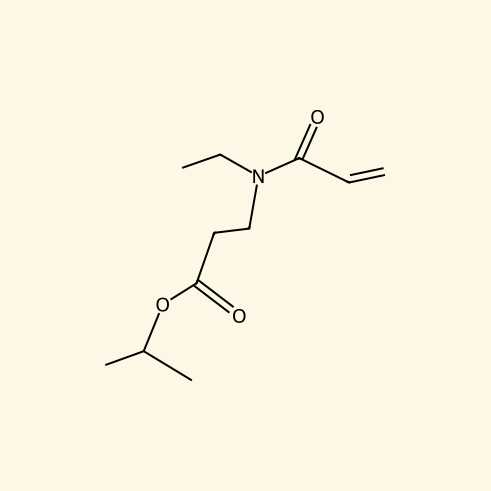 C=CC(=O)N(CC)CCC(=O)OC(C)C